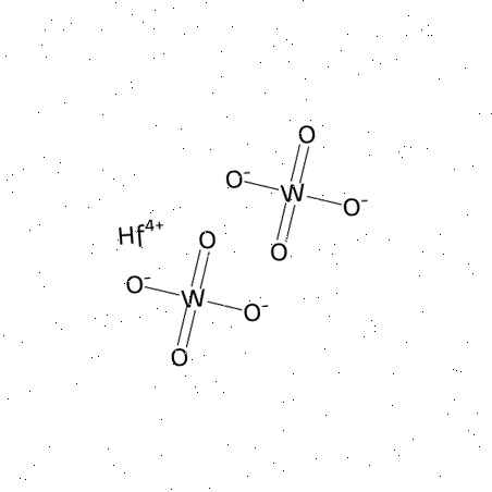 [Hf+4].[O]=[W](=[O])([O-])[O-].[O]=[W](=[O])([O-])[O-]